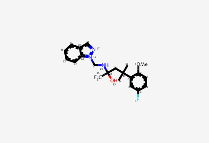 COc1ccc(F)cc1C(C)(C)CC(O)(NCn1ncc2ccccc21)C(F)(F)F